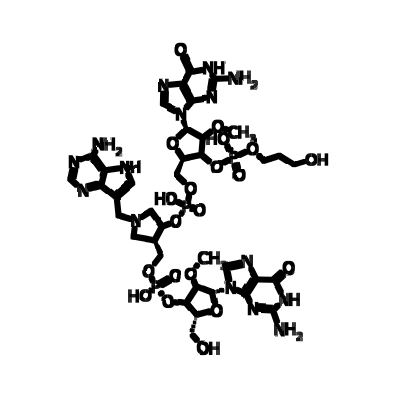 COC1C(OP(=O)(O)OC[C@H]2CN(Cc3c[nH]c4c(N)ncnc34)CC2OP(=O)(O)OC[C@H]2O[C@@H](n3cnc4c(=O)[nH]c(N)nc43)C(OC)C2OP(=O)(O)OCCCO)[C@@H](CO)O[C@H]1n1cnc2c(=O)[nH]c(N)nc21